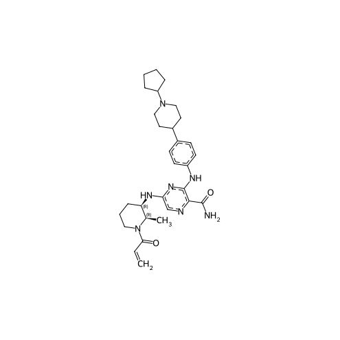 C=CC(=O)N1CCC[C@@H](Nc2cnc(C(N)=O)c(Nc3ccc(C4CCN(C5CCCC5)CC4)cc3)n2)[C@H]1C